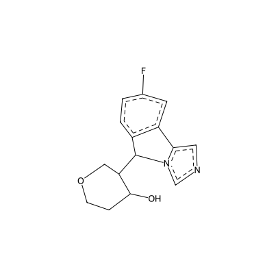 OC1CCOCC1C1c2ccc(F)cc2-c2cncn21